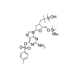 Cc1ccc(S(=O)(=O)Oc2nc(N)nc3c2ncn3[C@H]2CC(CC(C)(C)[Si](C)(C)O)[C@@H](CO[Si](C)(C)C(C)(C)C)O2)cc1